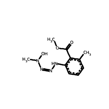 COC(=O)c1c(C)cccc1N/N=N\N(C)O